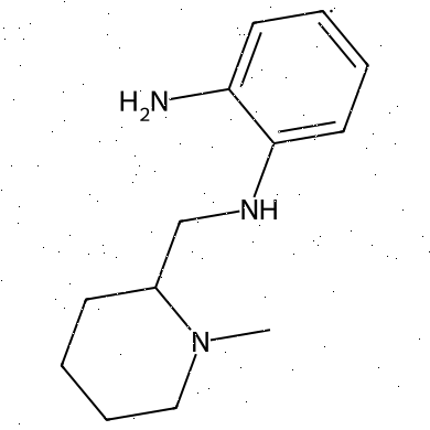 CN1CCCCC1CNc1cc[c]cc1N